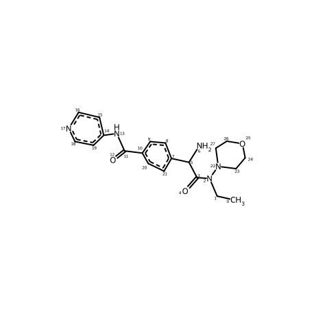 CCN(C(=O)C(N)c1ccc(C(=O)Nc2ccncc2)cc1)N1CCOCC1